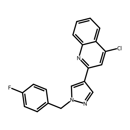 Fc1ccc(Cn2cc(-c3cc(Cl)c4ccccc4n3)cn2)cc1